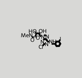 CNC(=O)[C@H]1OC(n2cnc3c(NCc4cccc(I)c4)nc(Cl)nc32)[C@H](O)[C@@H]1O